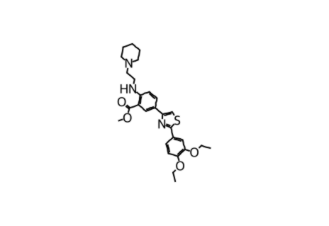 CCOc1ccc(-c2nc(-c3ccc(NCCN4CCCCC4)c(C(=O)OC)c3)cs2)cc1OCC